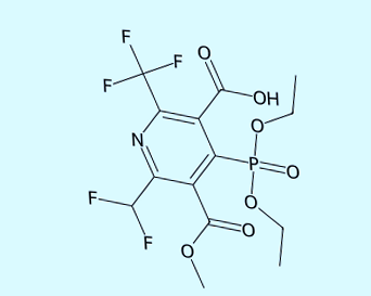 CCOP(=O)(OCC)c1c(C(=O)OC)c(C(F)F)nc(C(F)(F)F)c1C(=O)O